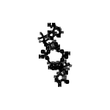 CC(C)(C)[Si](C)(C)O[C@@H]1[C@@H]2OP(=O)(S)OC[C@H]3O[C@@H](n4cnc5c(=O)[nH]ncc54)[C@H](OP(=O)(S)OC[C@H]2O[C@H]1n1cnc2c(N)ncnc21)[C@@H]3O[Si](C)(C)C(C)(C)C